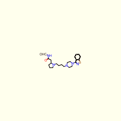 O=CNC(=O)CC1CCCN1CCCCN1CCN(c2nsc3ccccc23)CC1